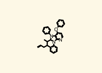 C=CCC1c2ccccc2N2c3nccc(Oc4ccccc4)c3N(c3ccccc3)C2C1C